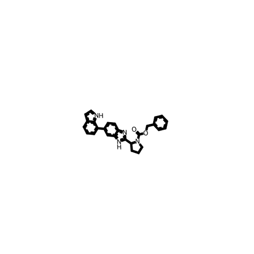 O=C(OCc1ccccc1)N1CCCC1c1nc2ccc(-c3cccc4cc[nH]c34)cc2[nH]1